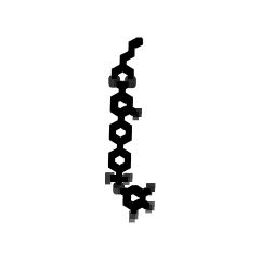 C=CCCC1COC(c2ccc(C3CCC(C4CCC(C(F)(F)Oc5cc(F)c(F)c(F)c5)CC4)CC3)c(F)c2)OC1